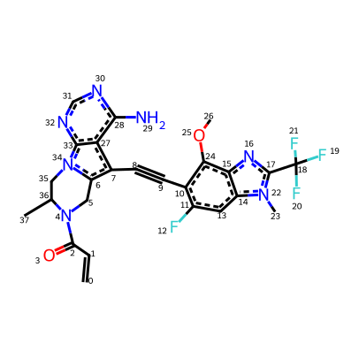 C=CC(=O)N1Cc2c(C#Cc3c(F)cc4c(nc(C(F)(F)F)n4C)c3OC)c3c(N)ncnc3n2CC1C